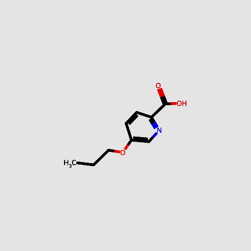 CCCOc1ccc(C(=O)O)nc1